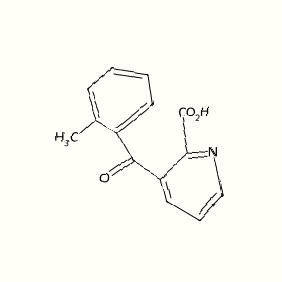 Cc1ccccc1C(=O)c1cccnc1C(=O)O